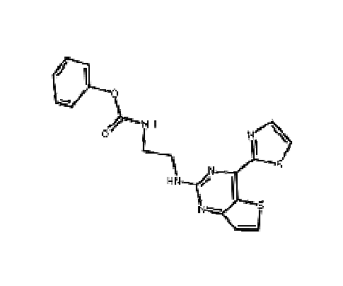 O=C(NCCNc1nc(-c2nccs2)c2sccc2n1)Oc1ccccc1